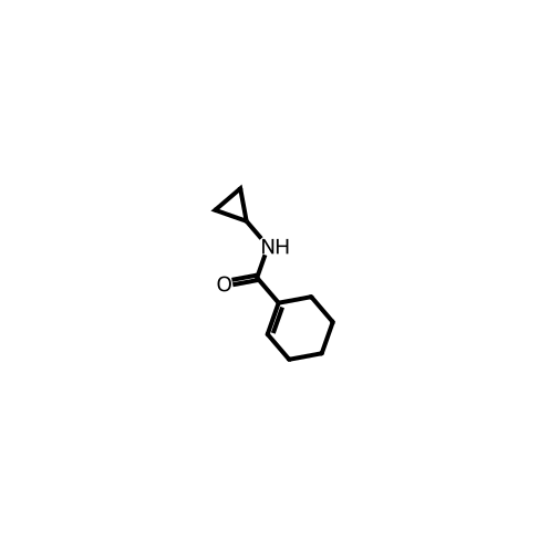 O=C(NC1CC1)C1=CCCCC1